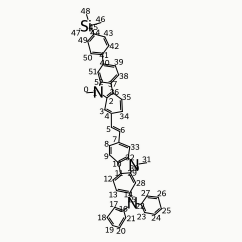 Cn1c2cc(/C=C/c3ccc4c5ccc(N(c6ccccc6)c6ccccc6)cc5n(C)c4c3)ccc2c2ccc(-c3ccc([Si](C)(C)C)cc3)cc21